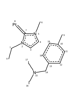 CCn1ccn(C)[c]1=[Pt].Cc1ccc(CN(I)I)cc1